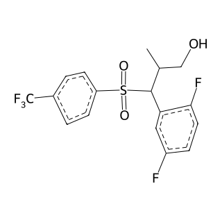 CC(CO)C(c1cc(F)ccc1F)S(=O)(=O)c1ccc(C(F)(F)F)cc1